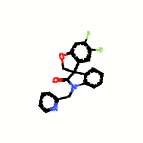 O=C1N(Cc2ccccn2)c2ccccc2C12COc1cc(F)c(F)cc12